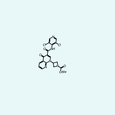 COC(=O)N1CC(n2cc(C(=O)Nc3c(Cl)cncc3Cl)c(=O)c3cccnc32)C1